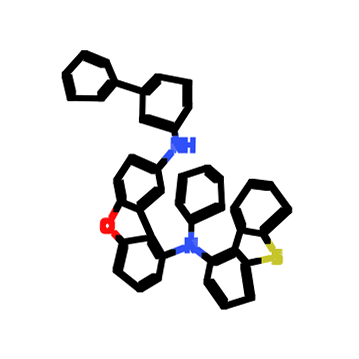 c1ccc(-c2cccc(Nc3ccc4oc5cccc(N(c6ccccc6)c6cccc7sc8ccccc8c67)c5c4c3)c2)cc1